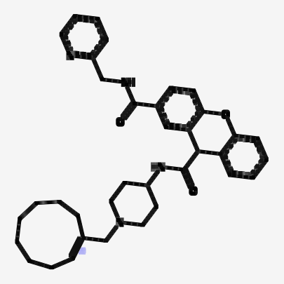 O=C(NCc1ccccn1)c1ccc2c(c1)C(C(=O)NC1CCN(C/C3=C/CCCCCCC3)CC1)c1ccccc1O2